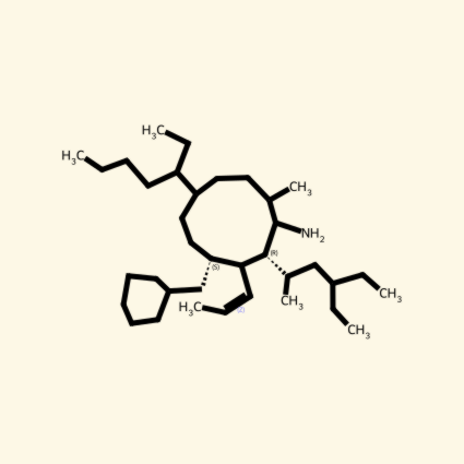 C/C=C\C1[C@H](CC2CCCCC2)CCC(C(CC)CCCC)CCC(C)C(N)[C@@H]1C(C)CC(CC)CC